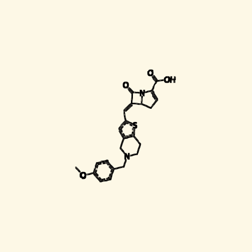 COc1ccc(CN2CCc3sc(/C=C4/C(=O)N5C(C(=O)O)=CCC45)cc3C2)cc1